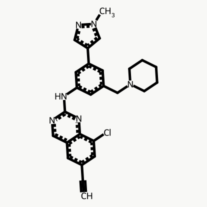 C#Cc1cc(Cl)c2nc(Nc3cc(CN4CCCCC4)cc(-c4cnn(C)c4)c3)ncc2c1